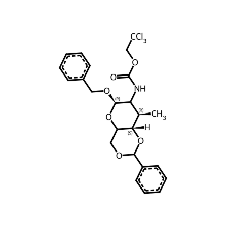 C[C@@H]1C(NC(=O)OCC(Cl)(Cl)Cl)[C@H](OCc2ccccc2)OC2COC(c3ccccc3)O[C@H]21